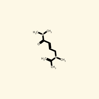 C=C(C)N(C)C/C=C/C(=O)N(C)C